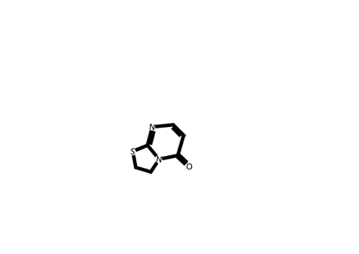 O=c1[c]cnc2n1CCS2